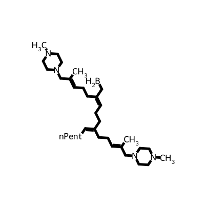 BC/C(=C/CC/C(=C/CCCCC)CC/C=C(\C)CN1CCN(C)CC1)CC/C=C(\C)CN1CCN(C)CC1